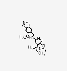 CCC(C)(C)c1cc(NCc2ccc(OC)cc2OC)nnc1Cl